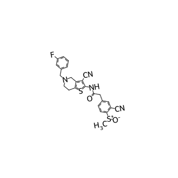 C[S+]([O-])c1ccc(CC(=O)Nc2sc3c(c2C#N)CN(Cc2cccc(F)c2)CC3)cc1C#N